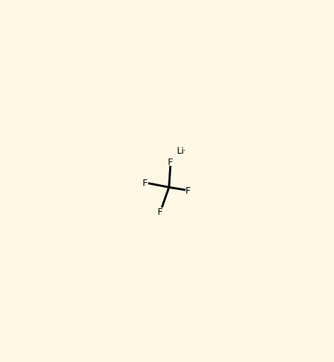 FC(F)(F)F.[Li]